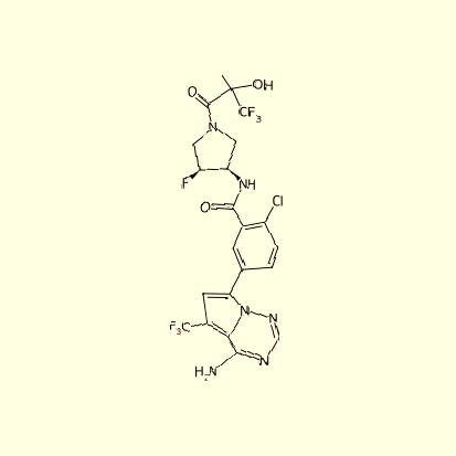 CC(O)(C(=O)N1C[C@H](F)[C@H](NC(=O)c2cc(-c3cc(C(F)(F)F)c4c(N)ncnn34)ccc2Cl)C1)C(F)(F)F